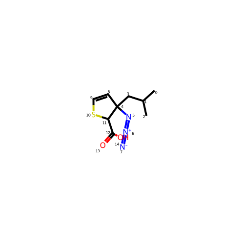 CC(C)CC1(N=[N+]=[N-])C=CSC1C(=O)O